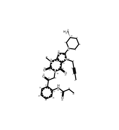 CC#CCn1c(N2CCC[C@@H](N)C2)nc2c1c(=O)n(CC(=O)c1ccccc1NC(=O)CC)c(=O)n2C